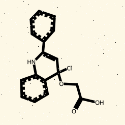 O=C(O)COC1(Cl)C=C(c2ccccc2)Nc2ccccc21